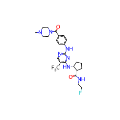 CN1CCN(C(=O)c2ccc(Nc3ncc(C(F)(F)F)c(N[C@@H]4CCC[C@@H]4C(=O)NCCF)n3)cc2)CC1